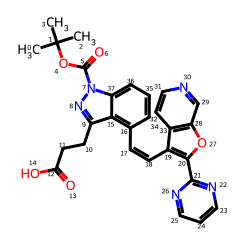 CC(C)(C)OC(=O)n1nc(CCC(=O)O)c2c(/C=C\c3c(-c4ncccn4)oc4cnccc34)cccc21